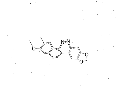 COc1cc2ccc3c4cc5c(cc4nnc3c2cc1C)OCO5